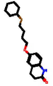 O=C1CCc2cc(OCCCCSC3CCCCC3)ccc2N1